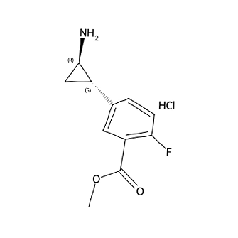 COC(=O)c1cc([C@@H]2C[C@H]2N)ccc1F.Cl